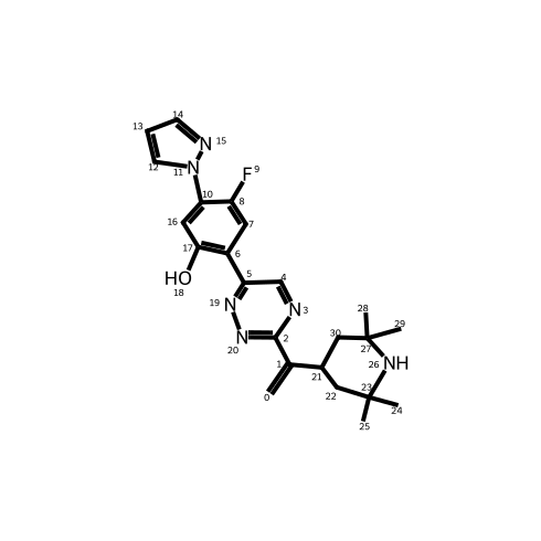 C=C(c1ncc(-c2cc(F)c(-n3cccn3)cc2O)nn1)C1CC(C)(C)NC(C)(C)C1